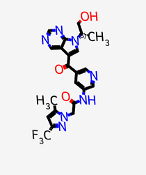 Cc1cc(C(F)(F)F)nn1CC(=O)Nc1cncc(C(=O)c2cn([C@@H](C)CO)c3ncncc23)c1